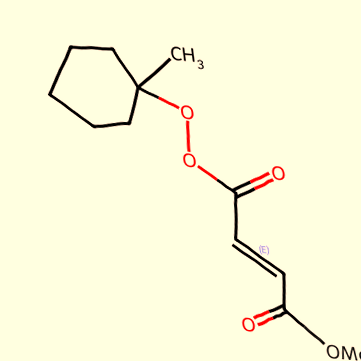 COC(=O)/C=C/C(=O)OOC1(C)CCCCC1